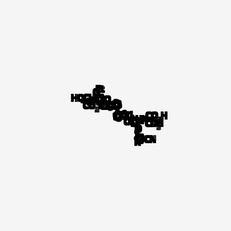 CCOc1cc(O[C@H]2CCc3c(-c4cccc5c4CC[C@@H]5Oc4cc(OCc5cncc(C#N)c5)c(CNC(C)(CO)C(=O)O)cc4Cl)cccc32)c(Cl)cc1CNC(C)(CO)C(=O)O